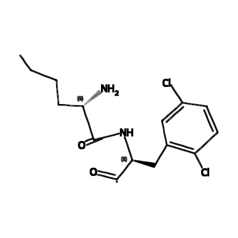 CCCC[C@H](N)C(=O)N[C@H]([C]=O)Cc1cc(Cl)ccc1Cl